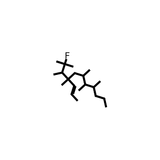 C/C=C/C(C)(CC(C)C(C)C(C)CCC)C(C)C(C)(C)F